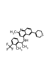 Cc1cc(NC(C)c2cccc(C(F)(F)F)c2C)c2cc(C3=CCSCC3)ccc2n1